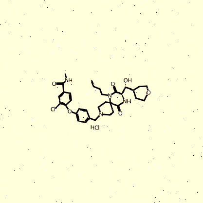 CCCCN1C(=O)[C@@H]([C@H](O)C2CCOCC2)NC(=O)C12CCN(Cc1ccc(Oc3ccc(C(=O)NC)cc3Cl)cc1)CC2.Cl